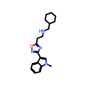 Cn1cc(-c2noc(CCNCC3CCCCC3)n2)c2ccccc21